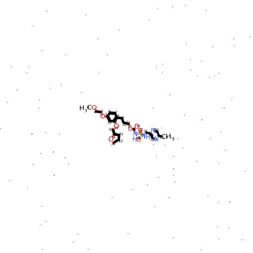 COCCOc1ccc(CCCOC(=O)NS(=O)(=O)NCc2cnc(C)cn2)c(OCC2CCCO2)c1